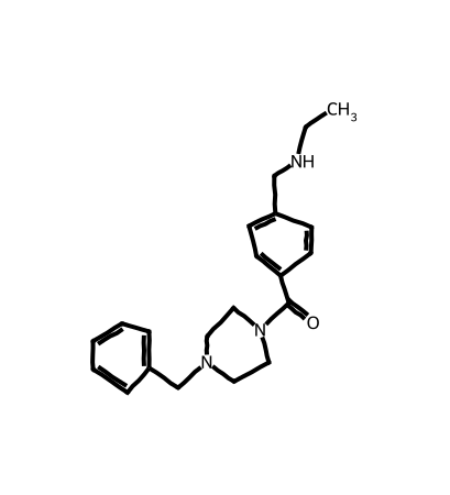 CCNCc1ccc(C(=O)N2CCN(Cc3ccccc3)CC2)cc1